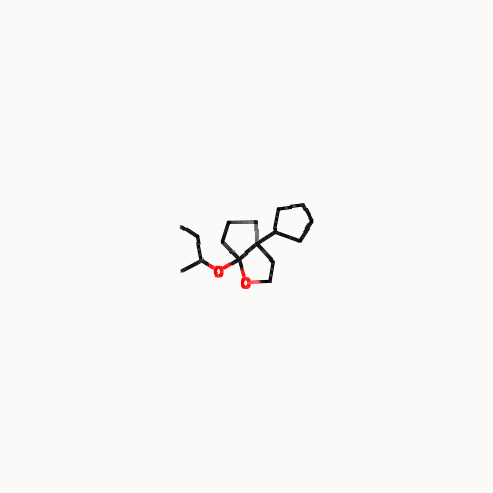 CCC(C)OC12CCCC1(C1CCCC1)CCO2